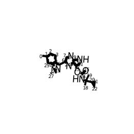 Cc1ccc2c(-c3cnc4[nH]cc(OC(=O)NC(C)(C)C5CC5)c4n3)nn(C)c2c1